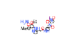 CCOc1cc(Nc2ncccc2/C=C/C(=O)Nc2ccc3c(c2)CN(C2CCC(=O)N(I)C2=O)C3=O)cc(OC)c1OCN